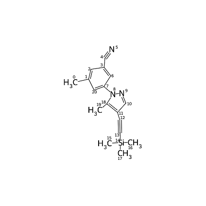 Cc1cc(C#N)cc(-n2ncc(C#C[Si](C)(C)C)c2C)c1